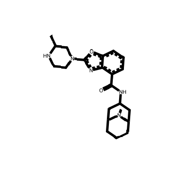 CC1CN(c2nc3c(C(=O)NC4CC5CCCC(C4)N5C)cccc3o2)CCN1